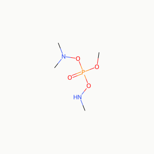 CNOP(=O)(OC)ON(C)C